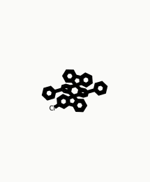 Clc1ccc2c(c1)-c1ccccc1C21c2ccc(-c3ccccc3)cc2C2(c3ccccc3-c3ccccc32)c2ccc(-c3ccccc3)cc21